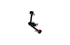 O=C1CCC(n2c(CCCCCCCCNC34CC5CC(CC(C5)C3)C4)nc3cccc(CCCCCCCCNC45CC6CC(CC(C6)C4)C5)c3c2=O)C(=O)N1